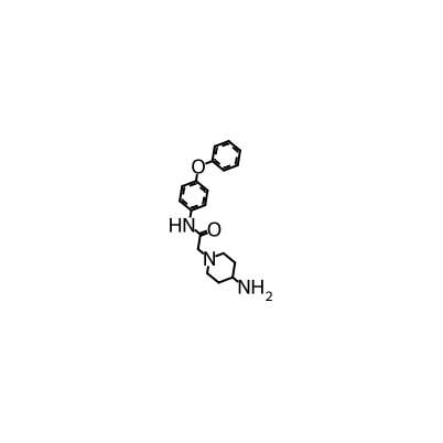 NC1CCN(CC(=O)Nc2ccc(Oc3ccccc3)cc2)CC1